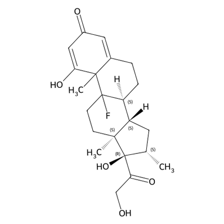 C[C@H]1C[C@H]2[C@@H]3CCC4=CC(=O)C=C(O)C4(C)C3(F)CC[C@]2(C)[C@@]1(O)C(=O)CO